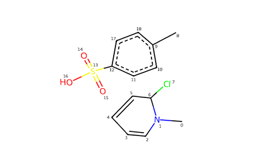 CN1C=CC=CC1Cl.Cc1ccc(S(=O)(=O)O)cc1